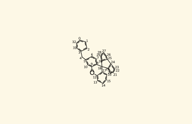 c1ccc(Cc2ccc3c(c2)Oc2ccccc2C32c3ccccc3-c3ccccc32)cc1